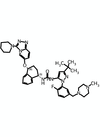 CN1CCN(Cc2ccc(F)c(-n3nc(C(C)(C)C)cc3NC(=O)N[C@H]3CC[C@@H](Oc4ccc5nnc(N6CCCCC6)n5c4)c4ccccc43)c2)CC1